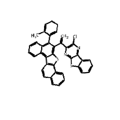 C=C(c1nc2sc3ccccc3c2nc1Cl)c1c(C2=CCCC=C2C)c2ccccc2c2c1sc1c3ccccc3ccc12